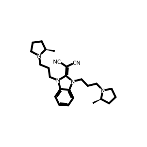 C[C@@H]1CCCN1CCCN1C(=C(C#N)C#N)N(CCCN2CCC[C@H]2C)c2ccccc21